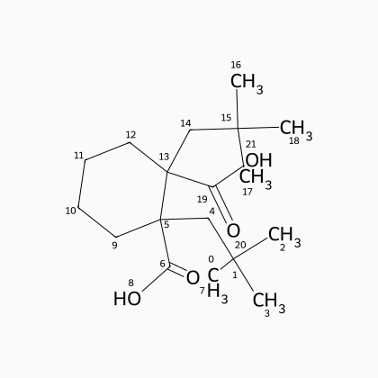 CC(C)(C)CC1(C(=O)O)CCCCC1(CC(C)(C)C)C(=O)O